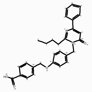 CCCCc1nc(-c2ccccc2)cc(=O)n1Cc1ccc(OCc2ccc(C(=O)O)cc2)cc1